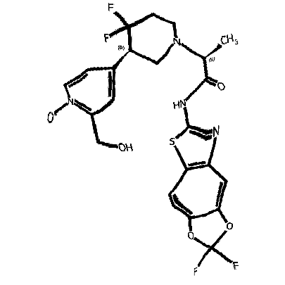 C[C@@H](C(=O)Nc1nc2cc3c(cc2s1)OC(F)(F)O3)N1CCC(F)(F)[C@H](c2cc[n+]([O-])c(CO)c2)C1